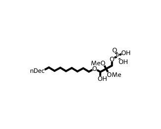 CCCCCCCCCCCCCCCCCCOC(O)C(COP(=O)(O)O)(OC)OC